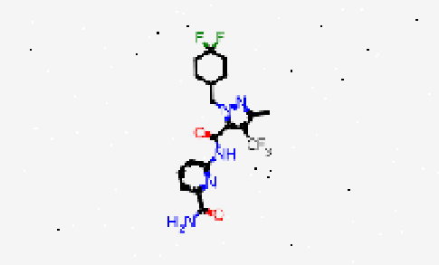 Cc1nn(CC2CCC(F)(F)CC2)c(C(=O)Nc2cccc(C(N)=O)n2)c1C(F)(F)F